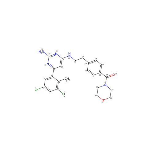 Cc1c(Cl)cc(Cl)cc1-c1cc(NCCc2ccc(C(=O)N3CCOCC3)cc2)nc(N)n1